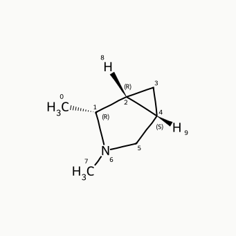 C[C@@H]1[C@@H]2C[C@@H]2CN1C